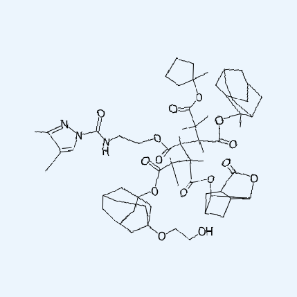 Cc1cn(C(=O)NCCOC(=O)C(C)(C(C)(C(=O)OC2C3CC4C(=O)OC2C4C3)C(C)(C)C(=O)OC23CC4CC(CC(OCCO)(C4)C2)C3)C(C)(C(=O)OC2(C)C3CC4CC(C3)CC2C4)C(C)(C)C(=O)OC2(C)CCCC2)nc1C